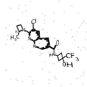 C[C@H]1CCN1c1nc2ncc(C(=O)NC3CC(O)(C(F)(F)F)C3)cc2cc1Cl